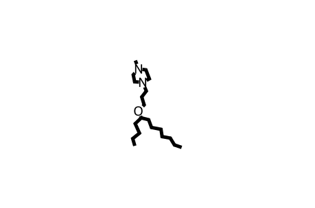 CCCCCCCC(CCCC)OCCCN1CCN(C)CC1